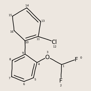 FC(F)Oc1ccccc1C1=C(Cl)C=CCC1